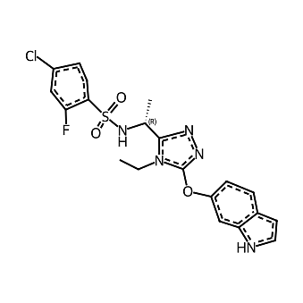 CCn1c(Oc2ccc3cc[nH]c3c2)nnc1[C@@H](C)NS(=O)(=O)c1ccc(Cl)cc1F